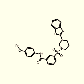 CC(C)Oc1ccc(NC(=O)c2cccc(S(=O)(=O)N3CCCC(c4nc5ccccc5o4)C3)c2)cc1